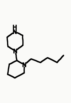 CCCCCN1CCCCC1N1CCNCC1